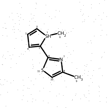 [CH2][SH]1C=CC=C1c1nc(C)cs1